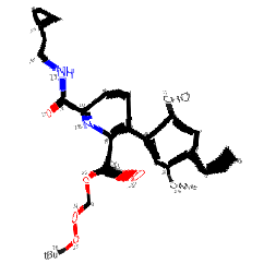 C=Cc1cc(C=O)c(-c2ccc(C(=O)NCC3CC3)nc2C(=O)OCOOC(C)(C)C)cc1OC